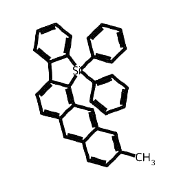 Cc1ccc2cc3ccc4c(c3cc2c1)[Si](c1ccccc1)(c1ccccc1)c1ccccc1-4